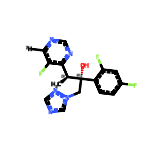 [2H]c1ncnc([C@H](C)[C@](O)(Cn2cncn2)c2ccc(F)cc2F)c1F